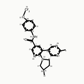 Cc1ncc(-c2cc(C(=O)Nc3ccc(OC(F)(F)F)cc3)cnc2N2CC[C@@H](C)C2)cn1